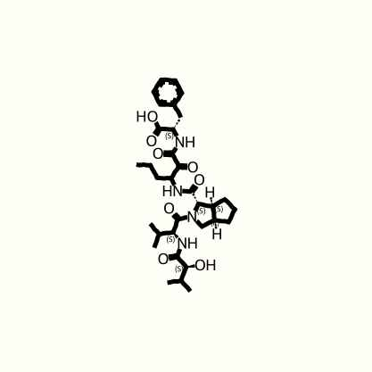 CCCC(NC(=O)[C@@H]1[C@H]2CCC[C@H]2CN1C(=O)[C@@H](NC(=O)[C@@H](O)C(C)C)C(C)C)C(=O)C(=O)N[C@@H](Cc1ccccc1)C(=O)O